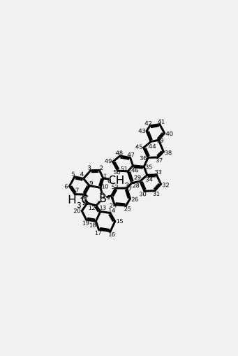 Cc1ccc2ccccc2c1B(C1=c2ccccc2=CCC1C)c1cccc(-c2c3ccccc3c(-c3ccc4ccccc4c3)c3ccccc23)c1